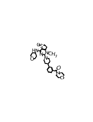 CN1C2=C(C(NC3CCOCC3)=NC1N1CCC(c3cccc(C(=O)N4CCOCC4)c3)CC1)[S+]([O-])CC2